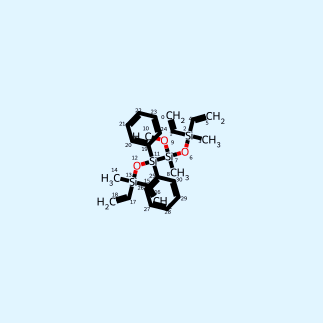 C=C[Si](C)(C=C)O[Si](C)(OC)[Si](O[Si](C)(C=C)C=C)(c1ccccc1)c1ccccc1